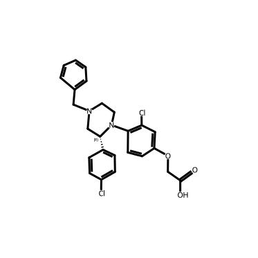 O=C(O)COc1ccc(N2CCN(Cc3ccccc3)C[C@H]2c2ccc(Cl)cc2)c(Cl)c1